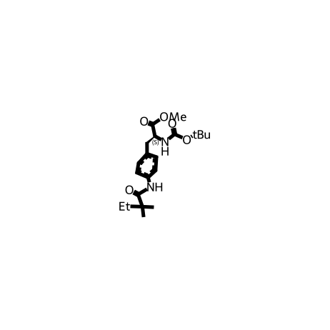 CCC(C)(C)C(=O)Nc1ccc(C[C@H](NC(=O)OC(C)(C)C)C(=O)OC)cc1